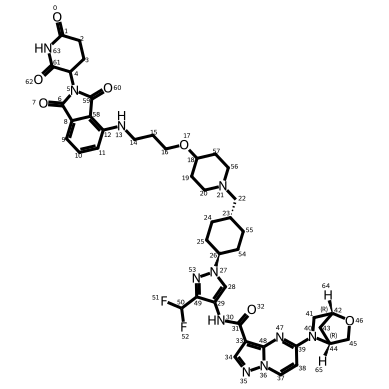 O=C1CCC(N2C(=O)c3cccc(NCCCOC4CCN(C[C@H]5CC[C@H](n6cc(NC(=O)c7cnn8ccc(N9C[C@H]%10C[C@@H]9CO%10)nc78)c(C(F)F)n6)CC5)CC4)c3C2=O)C(=O)N1